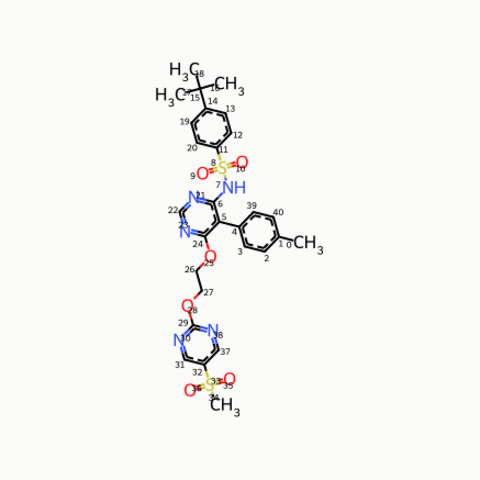 Cc1ccc(-c2c(NS(=O)(=O)c3ccc(C(C)(C)C)cc3)ncnc2OCCOc2ncc(S(C)(=O)=O)cn2)cc1